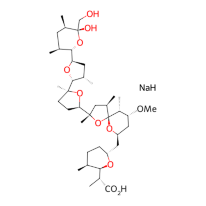 CO[C@@H]1C[C@@H](C[C@H]2CC[C@H](C)[C@H]([C@@H](C)C(=O)O)O2)O[C@]2(O[C@](C)([C@H]3CC[C@@](C)([C@@H]4O[C@@H]([C@H]5O[C@@](O)(CO)[C@H](C)C[C@@H]5C)C[C@@H]4C)O3)C[C@H]2C)[C@@H]1C.[NaH]